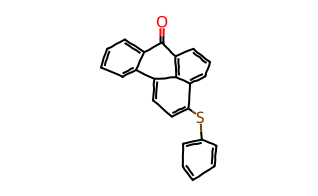 O=C1c2ccccc2-c2ccc(Sc3ccccc3)c3cccc1c23